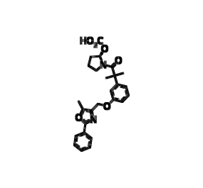 Cc1oc(-c2ccccc2)nc1COc1cccc(C(C)(C)C(=O)N2CCC[C@H]2OC(=O)O)c1